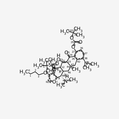 CCCCOc1noc2c1C(=O)[C@@]1(O[Si](C)(C)C(C)(C)C)C(O)=C3C(=O)c4c(OC(=O)OC(C)(C)C)ccc(N(C)C)c4C[C@@]3(C)C[C@H]1[C@@H]2N(C)C